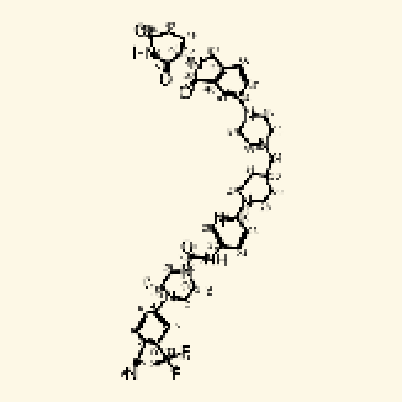 C[C@@H]1CN(c2ccc(C#N)c(C(F)(F)F)c2)[C@@H](C)CN1C(=O)Nc1ccc(N2CCC(CN3CCN(c4ccc5c(c4)C(=O)N([C@H]4CCC(=O)NC4=O)C5)CC3)CC2)nc1